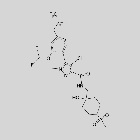 C[C@H](Cc1ccc(-c2c(Cl)c(C(=O)NCC3(O)CCC(S(C)(=O)=O)CC3)nn2C)c(OC(F)F)c1)C(F)(F)F